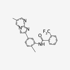 Cc1cnc2nc(-c3ccc(C)c(NC(=O)c4ccccc4C(F)(F)F)c3)cn2c1